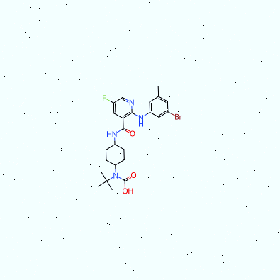 Cc1cc(Br)cc(Nc2ncc(F)cc2C(=O)NC2CCC(N(C(=O)O)C(C)(C)C)CC2)c1